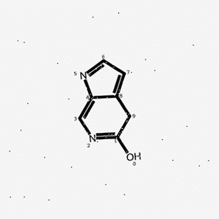 OC1=NC=C2N=CC=C2C1